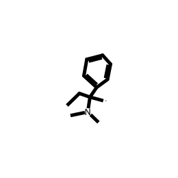 [CH2]C(CC)(c1ccccc1)N(C)C